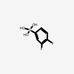 O[Si](O)(O)c1ccc(F)c(F)c1